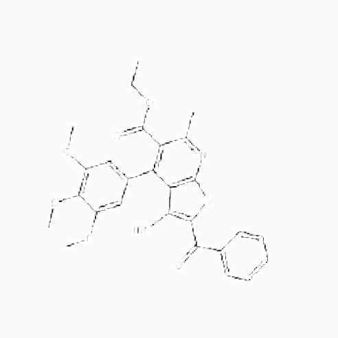 CCOC(=O)c1c(C)nc2sc(C(=O)c3ccccc3)c(N)c2c1-c1cc(OC)c(OC)c(OC)c1